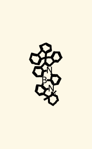 CC12CCCC[C@@]1(C)N1c3cccc4c3B(c3cccc2c31)c1cccc2c3c(n-4c12)-c1ccccc1C31c2ccccc2-c2ccccc21